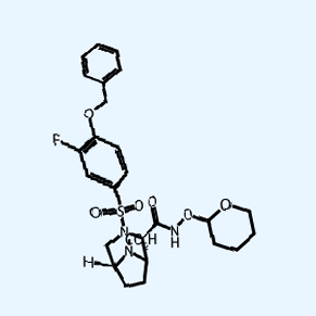 O=C(NOC1CCCCO1)[C@H]1C2CC[C@H](CN1S(=O)(=O)c1ccc(OCc3ccccc3)c(F)c1)N2C(=O)O